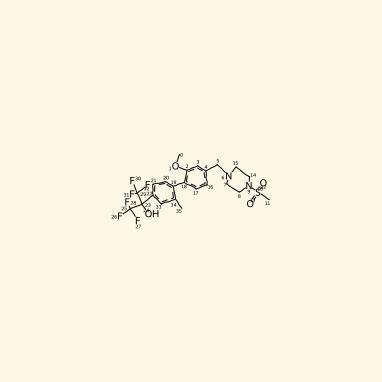 COc1cc(CN2CCN(S(C)(=O)=O)CC2)ccc1-c1ccc(C(O)(C(F)(F)F)C(F)(F)F)cc1C